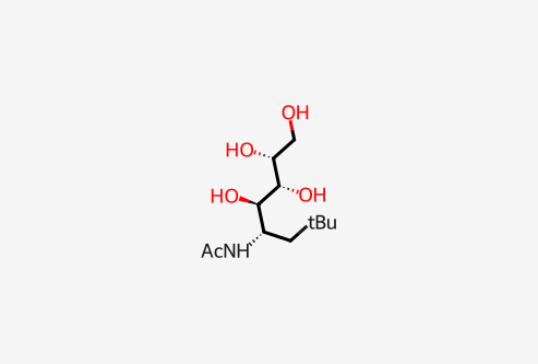 CC(=O)N[C@@H](CC(C)(C)C)[C@@H](O)[C@@H](O)[C@H](O)CO